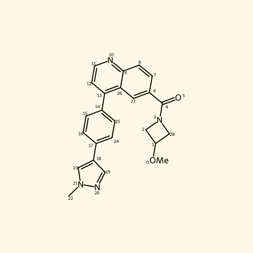 COC1CN(C(=O)c2ccc3nccc(-c4ccc(-c5cnn(C)c5)cc4)c3c2)C1